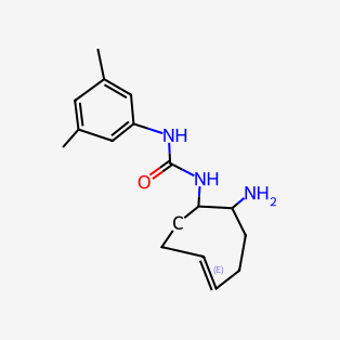 Cc1cc(C)cc(NC(=O)NC2CC/C=C/CCC2N)c1